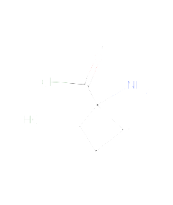 Cl.NC1(C(=O)Cl)CCC1